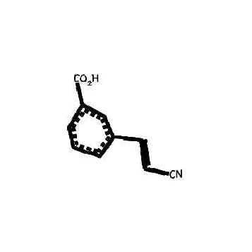 N#C/C=C/c1cccc(C(=O)O)c1